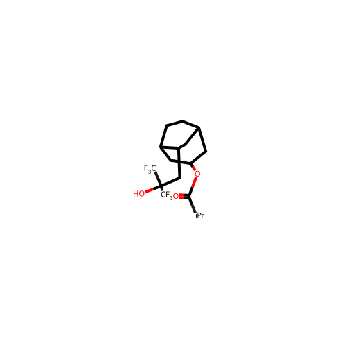 CC(C)C(=O)OC1CC2CCC(C1)C(CC(O)(C(F)(F)F)C(F)(F)F)C2